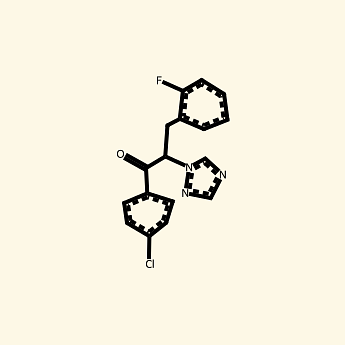 O=C(c1ccc(Cl)cc1)C(Cc1ccccc1F)n1cncn1